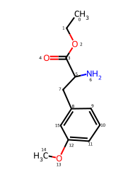 CCOC(=O)C(N)Cc1cccc(OC)c1